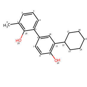 Cc1cccc(-c2ccc(O)c(C3CCCCC3)c2)c1O